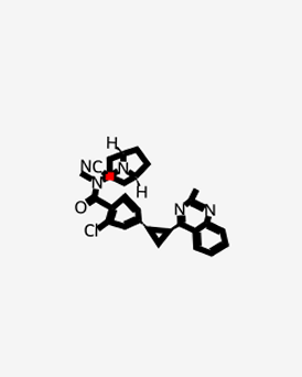 Cc1nc([C@H]2C[C@@H]2c2ccc(C(=O)N(C)C3C[C@H]4CC[C@@H](C3)N4CC#N)c(Cl)c2)c2ccccc2n1